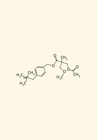 COCC(C)(COC(C)=O)C(=O)OCc1ccc(C[PH](C)(C)C)cc1